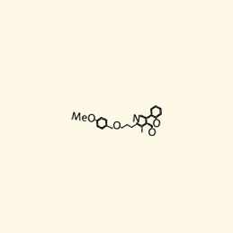 COc1ccc(COCCCc2ncc3c(c2C)c(=O)oc2ccccc23)cc1